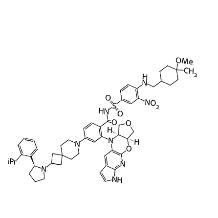 COC1(C)CCC(CNc2ccc(S(=O)(=O)NC(=O)c3ccc(N4CCC5(CC4)CC(N4CCC[C@H]4c4ccccc4C(C)C)C5)cc3N3c4cc5cc[nH]c5nc4O[C@@H]4COC[C@@H]43)cc2[N+](=O)[O-])CC1